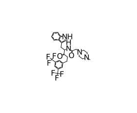 CN1CCN(CC(=O)NC(Cc2c[nH]c3ccccc23)C(=O)CCc2cc(C(F)(F)F)cc(C(F)(F)F)c2)CC1